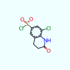 O=C1CCc2cc(S(=O)(=O)Cl)cc(Cl)c2N1